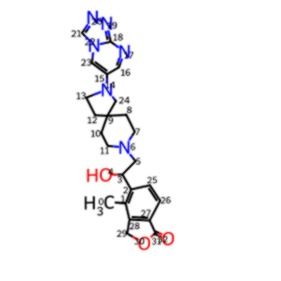 Cc1c(C(O)CN2CCC3(CC2)CCN(c2cnc4nncn4c2)C3)ccc2c1COC2=O